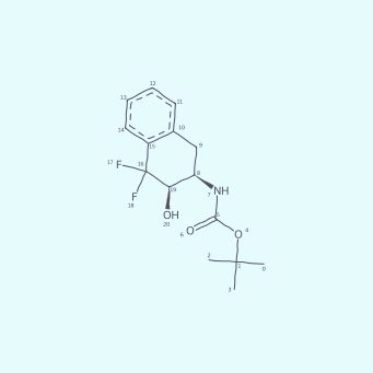 CC(C)(C)OC(=O)N[C@@H]1Cc2ccccc2C(F)(F)[C@@H]1O